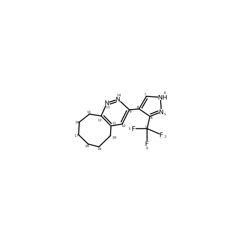 FC(F)(F)c1n[nH]cc1-c1cc2c(nn1)CCCCCC2